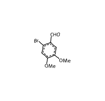 COc1cc(Br)c(C=O)cc1OC